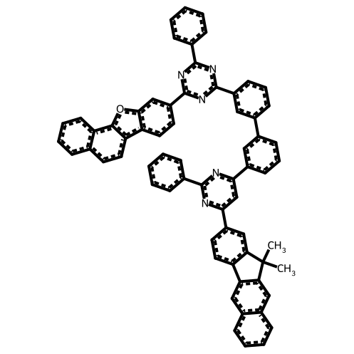 CC1(C)c2cc(-c3cc(-c4cccc(-c5cccc(-c6nc(-c7ccccc7)nc(-c7ccc8c(c7)oc7c9ccccc9ccc87)n6)c5)c4)nc(-c4ccccc4)n3)ccc2-c2cc3ccccc3cc21